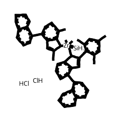 CC1=Cc2c(-c3cccc4ccccc34)ccc(C)c2[CH]1[Zr]([CH3])([CH3])(=[SiH2])[CH]1C(c2c(C)cc(C)cc2C)=Cc2c(-c3cccc4ccccc34)cccc21.Cl.Cl